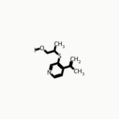 C=C(C)c1ccncc1SC(C)COI